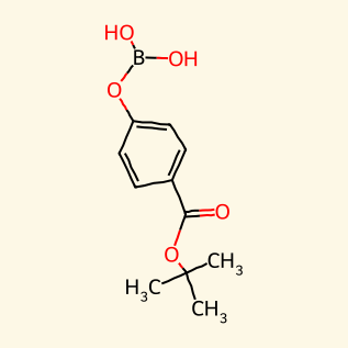 CC(C)(C)OC(=O)c1ccc(OB(O)O)cc1